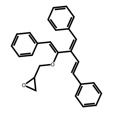 C(=Cc1ccccc1)C(=Cc1ccccc1)C(=Cc1ccccc1)OCC1CO1